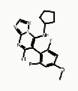 COc1cc(F)c(-c2c(Cl)nc3ncnn3c2NC2CCCC2)c(F)c1